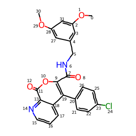 COc1cc(CNC(=O)c2oc(=O)c3ncccc3c2-c2ccc(Cl)cc2)cc(OC)c1